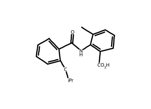 Cc1cccc(C(=O)O)c1NC(=O)c1ccccc1CC(C)C